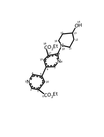 CCOC(=O)c1cncc(-c2cnc(N3CCC(O)CC3)c(C(=O)OCC)c2)c1